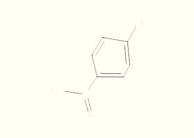 O=[Se](O)c1ccc(Cl)cc1